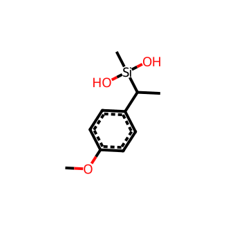 COc1ccc(C(C)[Si](C)(O)O)cc1